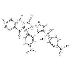 COC1=C(C(=O)c2ccc(C)cc2)C(c2ccc(C(C)C)cc2)N(c2ncc(S(=O)(=O)c3ccc([N+](=O)[O-])cc3)s2)C1=O